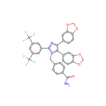 NC(=O)c1ccc(Cn2c(-c3cc(C(F)(F)F)cc(C(F)(F)F)c3)nc(-c3ccc4c(c3)OCO4)c2-c2ccc3c(c2)OCO3)cc1